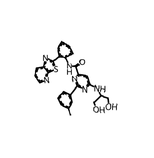 Cc1cccc(-c2nc(NC(CO)CO)cc(C(=O)Nc3ccccc3-c3nc4cccnc4s3)n2)c1